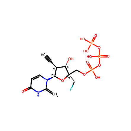 C#C[C@@H]1[C@H](N2C=CC(=O)NC2=C)O[C@](CF)(COP(=O)(O)OP(=O)(O)OP(=O)(O)O)[C@H]1O